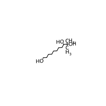 CC(C)(O)C(O)CCCCCCCCO